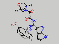 O=C(Nc1nn([C@H]2[C@@H]3CC4C[C@H]2C[C@@](O)(C4)C3)c2c1cnc1[nH]ccc12)C(=O)N1C[C@@H]2C[C@H]1CO2